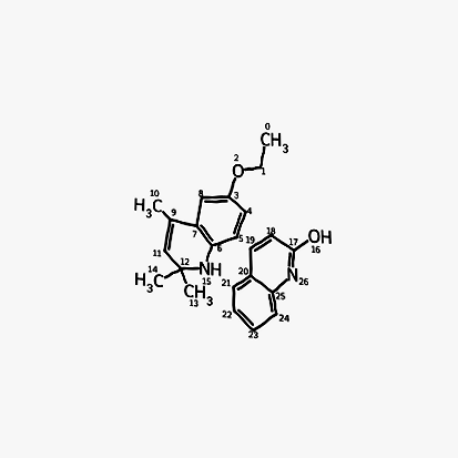 CCOc1ccc2c(c1)C(C)=CC(C)(C)N2.Oc1ccc2ccccc2n1